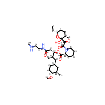 CC[C@@H]1CC[C@@H](C)[C@](O)(C(=O)C(=O)N2CCCC[C@H]2C(=O)O[C@@H](CC(=O)NCCNC)[C@H](C)C[C@@H]2CC[C@@H](OC)[C@H](C)C2)O1